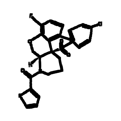 O=C(c1cccs1)N1CCC[C@]2(S(=O)(=O)c3ccc(Cl)cc3)c3c(F)ccc(F)c3OC[C@H]12